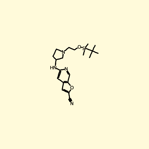 CC(C)(C)[Si](C)(C)OCCN1CCC(Nc2cc3cc(C#N)oc3cn2)C1